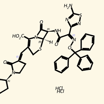 Cl.Cl.Nc1nc(/C(=N/OC(c2ccccc2)(c2ccccc2)c2ccccc2)C(=O)N[C@@H]2C(=O)N3C(C(=O)O)=C(/C=C4\CCN([C@H]5CCNC5)C4=O)CS[C@H]23)ns1